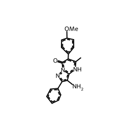 COc1ccc(-c2c(C)[nH]c3c(N)c(-c4ccccc4)nn3c2=O)cc1